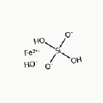 [Fe+3].[O-][Si]([O-])(O)O.[OH-]